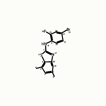 Cc1cc(C)c2sc(Nc3ccc(Br)cc3F)nc2c1